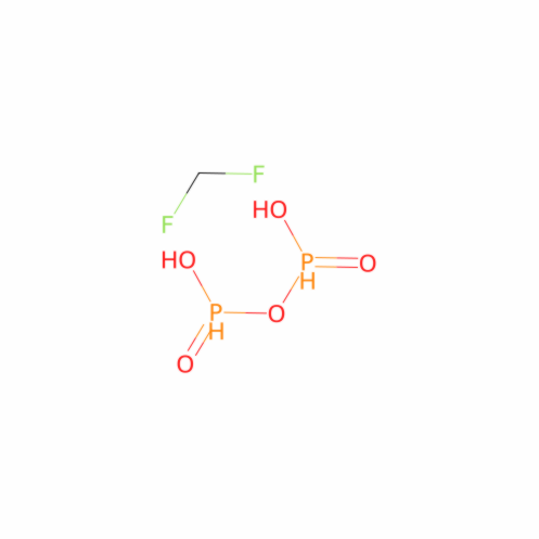 FCF.O=[PH](O)O[PH](=O)O